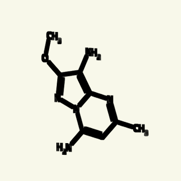 COc1nn2c(N)cc(C)nc2c1N